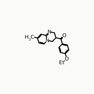 CCOc1ccc(C(=O)C2CN=C3C=C(C)C=CN3C2)cc1